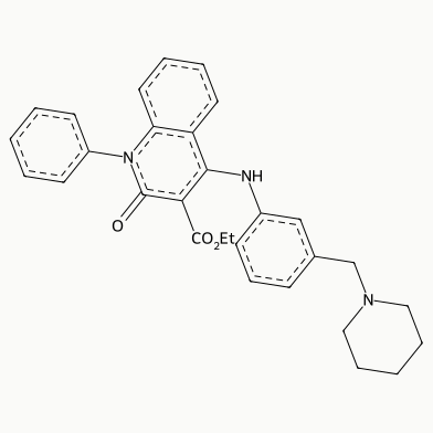 CCOC(=O)c1c(Nc2cccc(CN3CCCCC3)c2)c2ccccc2n(-c2ccccc2)c1=O